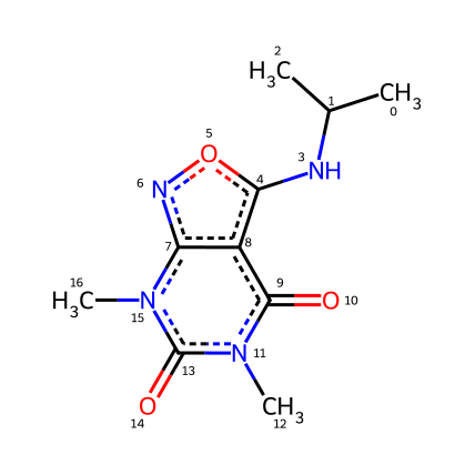 CC(C)Nc1onc2c1c(=O)n(C)c(=O)n2C